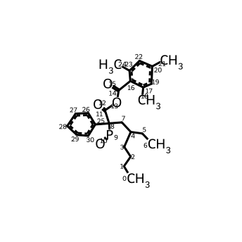 CCCCC(CC)CC(P=O)(C(=O)OC(=O)c1c(C)cc(C)cc1C)c1ccccc1